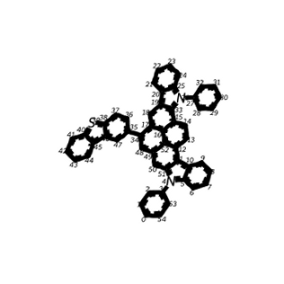 c1ccc(-n2c3ccccc3c3c4ccc5c6c(cc7c8ccccc8n(-c8ccccc8)c75)c(-c5ccc7sc8ccccc8c7c5)cc(cc32)c46)cc1